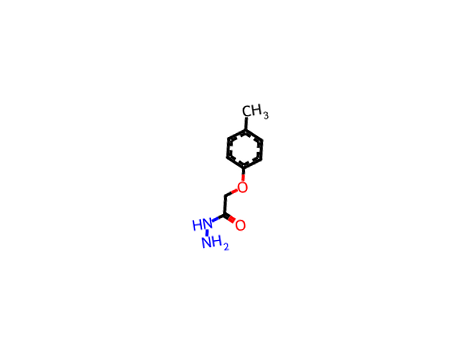 Cc1ccc(OCC(=O)NN)cc1